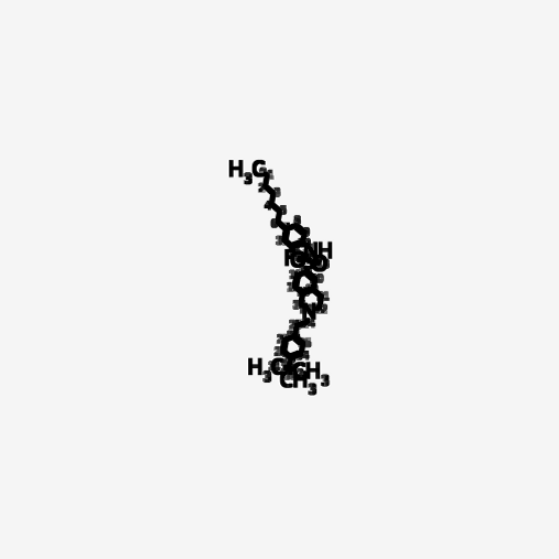 CCCCCCCc1ccc(NS(=O)(=O)c2ccc3c(c2)CCN(CCc2ccc(C(C)(C)C)cc2)C3)c(F)c1